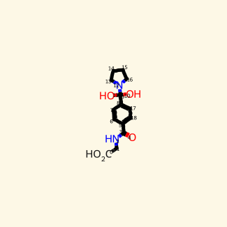 O=C(O)CNC(=O)c1ccc(C(O)(O)N2CCCC2)cc1